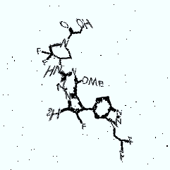 [2H]c1c(F)c(-c2ccc3nnn(CC(F)F)c3c2)c2c(OC)nc(N[C@@H]3CCN(C(=O)CO)CC3(F)F)nn12